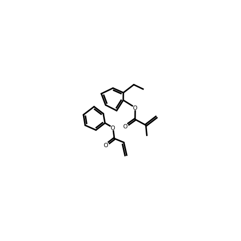 C=C(C)C(=O)Oc1ccccc1CC.C=CC(=O)Oc1ccccc1